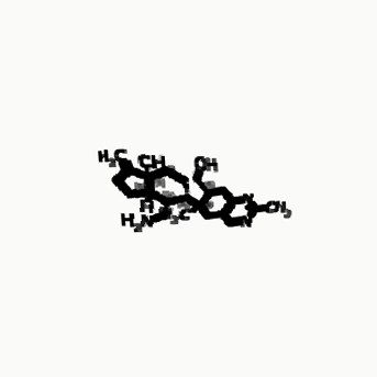 C=C1CC[C@H]2[C@H](CN)[C@@H]([C@@]3(C)Cc4cnc(C)nc4C[C@@H]3CO)CC[C@]12C